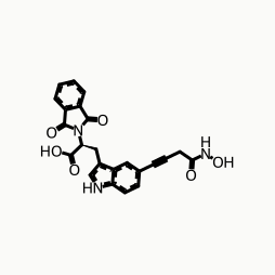 O=C(CC#Cc1ccc2[nH]cc(C[C@@H](C(=O)O)N3C(=O)c4ccccc4C3=O)c2c1)NO